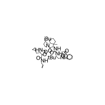 C=CCNC(=O)C(=O)C(CC1CC1)NC(=O)[C@@H]1C[C@@H](C(C)CC)CN1C(=O)[C@@H](NC(=O)N[C@H](CNCc1ccccc1S(C)(=O)=O)C(C)(C)C)C1(C)CCCCC1